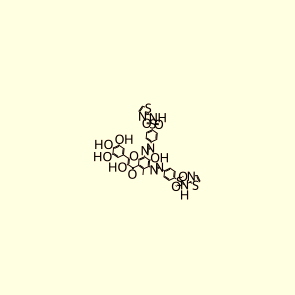 Cc1c(N=Nc2ccc(S(=O)(=O)Nc3nccs3)cc2)c(O)c(N=Nc2ccc(S(=O)(=O)Nc3nccs3)cc2)c2oc(-c3cc(O)c(O)c(O)c3)c(O)c(=O)c12